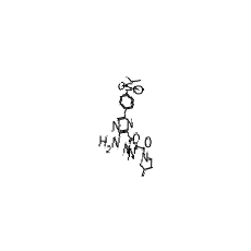 CC1CCN(C(=O)c2nnc(-c3nc(-c4ccc(S(=O)(=O)C(C)C)cc4)cnc3N)o2)C1